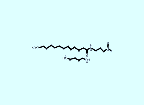 CCCCCCCCCCCCCCCCCCCCCC(=O)NCCCN(C)C.OCCCCO